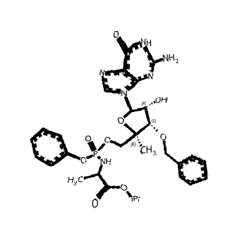 CC(C)OC(=O)C(C)NP(=O)(OC[C@@]1(C)OC(n2cnc3c(=O)[nH]c(N)nc32)[C@H](O)[C@@H]1OCc1ccccc1)Oc1ccccc1